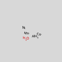 O.[AlH3].[Co].[Mn].[Ni]